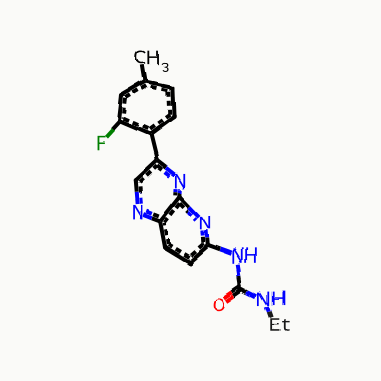 CCNC(=O)Nc1ccc2ncc(-c3ccc(C)cc3F)nc2n1